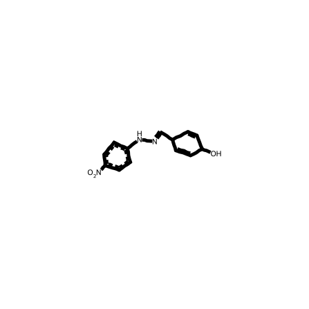 O=[N+]([O-])c1ccc(NN=CC2C=CC(O)C=C2)cc1